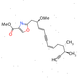 C#C[C@H](C)[C@@H](C)C/C=C\C#C/C=C/[C@@H](Cc1nc(C(=O)OC)co1)OC